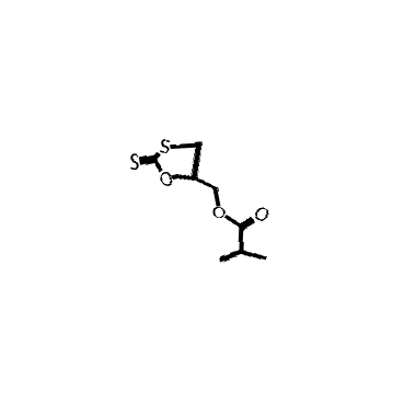 CC(C)C(=O)OCC1CSC(=S)O1